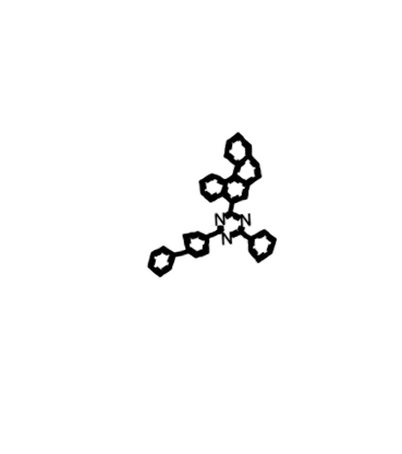 c1ccc(-c2ccc(-c3nc(-c4ccccc4)nc(-c4cc5ccc6ccccc6c5c5ccccc45)n3)cc2)cc1